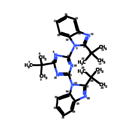 CC(C)(C)c1nc(-n2c(C(C)(C)C)nc3ccccc32)nc(-n2c(C(C)(C)C)nc3ccccc32)n1